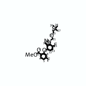 COC(=O)c1ccc(F)cc1Oc1ccc(F)c2c1cnn2COCC[Si](C)(C)C